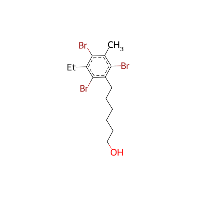 CCc1c(Br)c(C)c(Br)c(CCCCCCO)c1Br